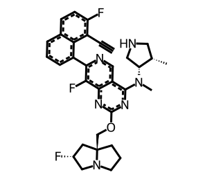 C#Cc1c(F)ccc2cccc(-c3ncc4c(N(C)[C@@H]5CNC[C@@H]5C)nc(OC[C@@]56CCCN5C[C@H](F)C6)nc4c3F)c12